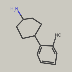 NC1CCC(c2ccccc2N=O)CC1